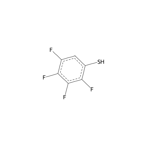 Fc1cc(S)c(F)c(F)c1F